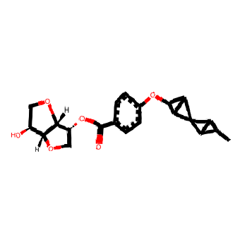 CC1C2C1C21C2C(Oc3ccc(C(=O)O[C@@H]4CO[C@H]5[C@@H]4OC[C@@H]5O)cc3)C21